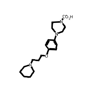 O=C(O)N1CCN(c2ccc(OCCCN3CCCCC3)cc2)CC1